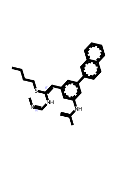 C=C(C)Nc1cc(/C=C(\N/C=N\C)SCCCC)cc(-c2ccc3ccccc3c2)c1